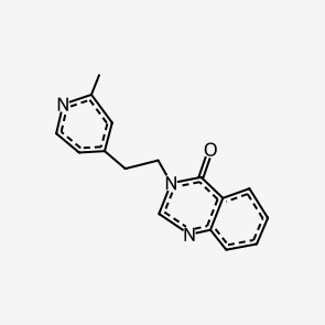 Cc1cc(CCn2cnc3ccccc3c2=O)ccn1